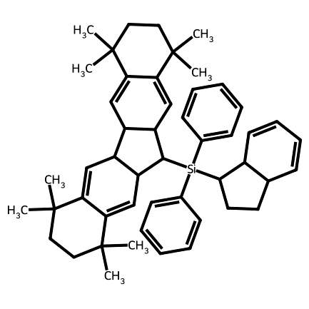 CC1(C)CCC(C)(C)C2=CC3C(C=C21)C1C=C2C(=CC1C3[Si](c1ccccc1)(c1ccccc1)C1CCC3C=CC=CC31)C(C)(C)CCC2(C)C